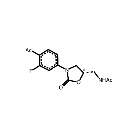 CC(=O)NC[C@H]1CN(c2ccc(C(C)=O)c(F)c2)C(=O)O1